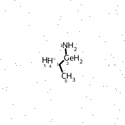 C[CH2][GeH2][NH2].[H-].[H-]